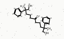 CC(CO)(CCCC(=O)CCCC(C)(CO)c1ccccc1)c1ccccc1